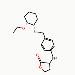 CCO[C@@H]1CCCC[C@@H]1SCc1ccc(BC2CCOC2=O)cc1